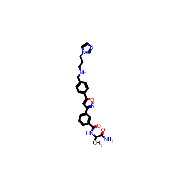 CC(NC(=O)c1cccc(-c2cc(-c3ccc(CNCCCn4ccnc4)cc3)on2)c1)C(N)=O